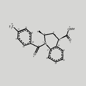 COC(=O)[C@@H]1C[C@H](C)N(C(=O)c2ccc(C(F)(F)F)cc2)c2ccccc21